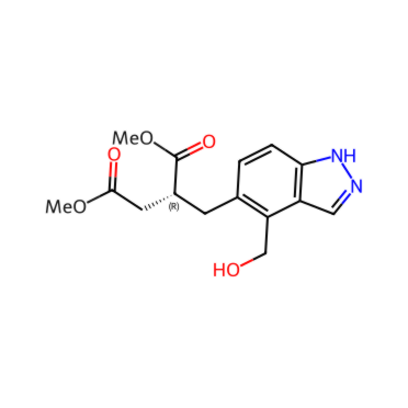 COC(=O)C[C@@H](Cc1ccc2[nH]ncc2c1CO)C(=O)OC